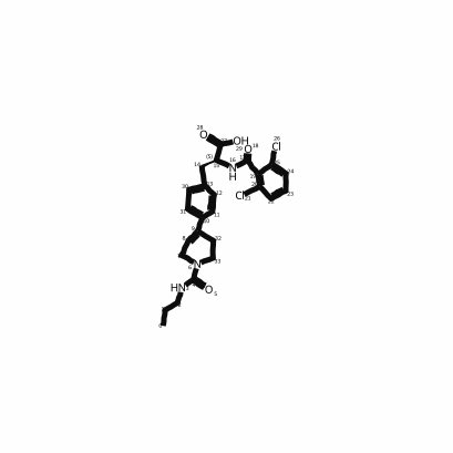 CCCNC(=O)N1CC=C(c2ccc(C[C@H](NC(=O)c3c(Cl)cccc3Cl)C(=O)O)cc2)CC1